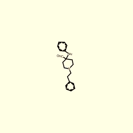 O=CC1(Nc2ccccc2)CCN(CCc2ccccc2)CC1